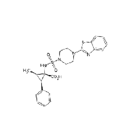 C[C@@H]1[C@H](c2ccccc2)[C@]1(NS(=O)(=O)N1CCN(c2nc3ccccc3s2)CC1)C(=O)O